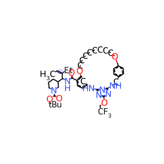 C/C=C(/CC)C(NC(=O)c1ccc2cc1OCCCCCCCCOc1ccc(cc1)CNc1nc(nc(OCC(F)(F)F)n1)N2)C1CCCN(C(=O)OC(C)(C)C)C1